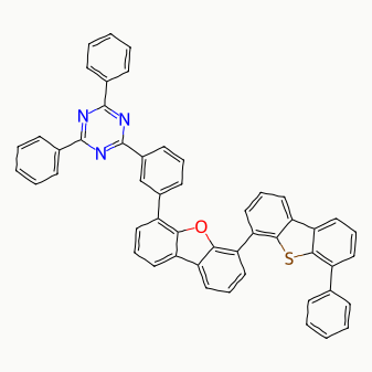 c1ccc(-c2nc(-c3ccccc3)nc(-c3cccc(-c4cccc5c4oc4c(-c6cccc7c6sc6c(-c8ccccc8)cccc67)cccc45)c3)n2)cc1